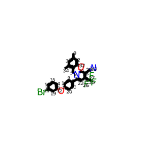 Cc1ccc(Cn2c(-c3ccc(Oc4cccc(Br)c4)cc3)cc(C(F)(F)F)c(C#N)c2=O)c(C)c1